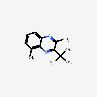 Cc1nc2cccc(C)c2nc1C(C)(C)C